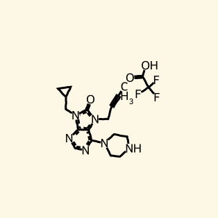 CC#CCn1c(=O)n(CC2CC2)c2ncnc(N3CCNCC3)c21.O=C(O)C(F)(F)F